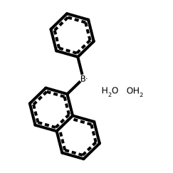 O.O.[B](c1ccccc1)c1cccc2ccccc12